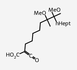 CCCCCCCC(C)(OC)C(C)(CCCCCC(=C=O)C(=O)O)OC